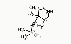 COC1(C#C[Si](C)(C)C)CCNCC1O